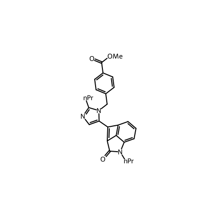 CCCc1ncc(C2=C3C(=O)N(CCC)c4cccc2c43)n1Cc1ccc(C(=O)OC)cc1